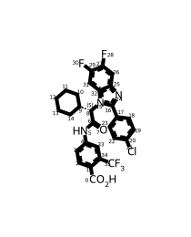 O=C(O)c1ccc(NC(=O)[C@H](C2CCCCC2)n2c(-c3ccc(Cl)cc3)nc3cc(F)c(F)cc32)cc1C(F)(F)F